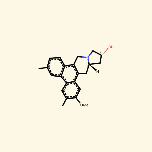 COc1cc2c3c(c4ccc(C)cc4c2cc1C)CN1C[C@H](O)C[C@@H]1C3